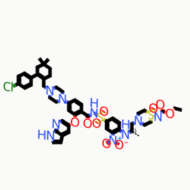 CCOC(=O)N=S1(=O)CCN(C[C@H](C)Nc2ccc(S(=O)(=O)NC(=O)c3ccc(N4CCN(CC5=C(c6ccc(Cl)cc6)CC(C)(C)CC5)CC4)cc3Oc3cnc4[nH]ccc4c3)cc2[N+](=O)[O-])CC1